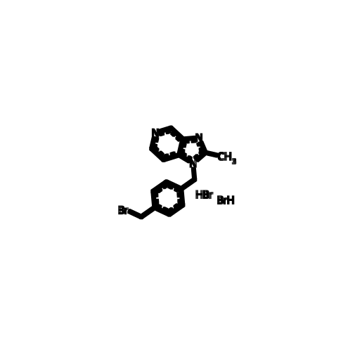 Br.Br.Cc1nc2cnccc2n1Cc1ccc(CBr)cc1